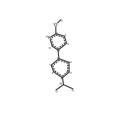 COc1ccc(-c2ccc(C(C)C)cc2)cn1